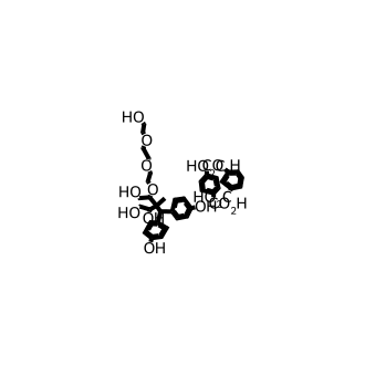 CC(C(O)CO)(C(CO)OCCOCCOCCO)C(c1ccc(O)cc1)c1ccc(O)cc1.O=C(O)c1ccc(C(=O)O)cc1.O=C(O)c1cccc(C(=O)O)c1